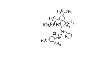 Cc1cc(C)c(NCCN(CCNc2c(C(C)C)cc(C(C)C)cc2C(C)C)Cc2ccccn2)c(C)c1.[Br-].[Br-].[Co+2]